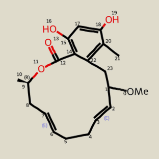 COC1/C=C/CC/C=C/C[C@@H](C)OC(=O)c2c(O)cc(O)c(C)c2C1